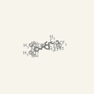 C=C1/C(=C\C=C2/CCC[C@]3(C)[C@@H]([C@H](C)CN4CCC(O[Si](CC)(CC)CC)(C(F)(F)F)C4)CC[C@@H]23)CC(O[Si](C)(C)C(C)(C)C)CC1O[Si](C)(C)C(C)(C)C